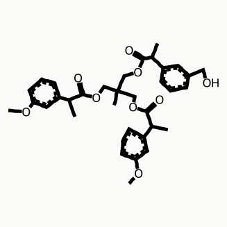 COc1cccc(C(C)C(=O)OCC(C)(COC(=O)C(C)c2cccc(CO)c2)COC(=O)C(C)c2cccc(OC)c2)c1